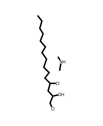 CCCCCCCCCCCC(Cl)CC(O)CCl.CNC